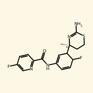 C[C@@]1(C2C=C(NC(=O)c3ccc(F)cn3)C=CC2F)CCSC(N)=N1